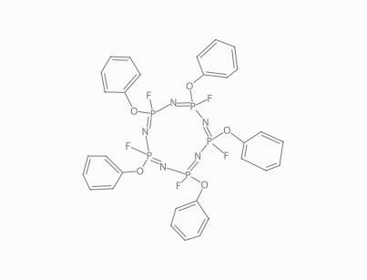 FP1(Oc2ccccc2)=NP(F)(Oc2ccccc2)=NP(F)(Oc2ccccc2)=NP(F)(Oc2ccccc2)=NP(F)(Oc2ccccc2)=N1